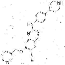 C#Cc1cc2cnc(Nc3ccc(C4CCNCC4)cc3)nc2cc1OCc1cccnc1